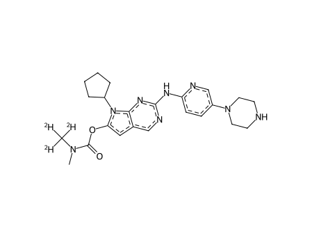 [2H]C([2H])([2H])N(C)C(=O)Oc1cc2cnc(Nc3ccc(N4CCNCC4)cn3)nc2n1C1CCCC1